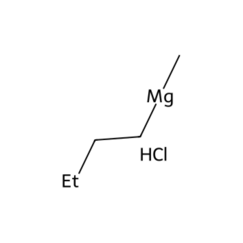 CCC[CH2][Mg][CH3].Cl